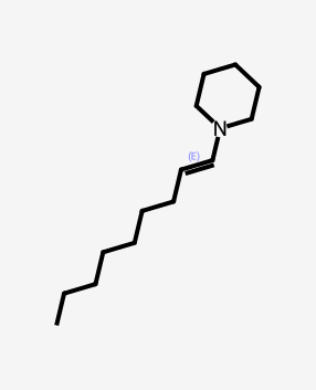 CCCCCCC/C=C/N1CCCCC1